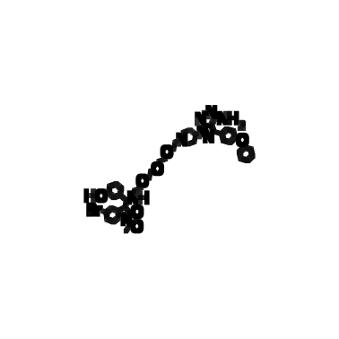 CC(=O)N1C(=O)/C(=C(\NCCOCCOCCOCCN2CCC(n3nc(-c4ccc(Oc5ccccc5)cc4)c4c(N)ncnc43)CC2)c2cccc(O)c2)c2cc(Br)ccc21